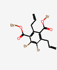 C=CCc1c(Br)c(Br)c(C(=O)OBr)c(CC=C)c1C(=O)OBr